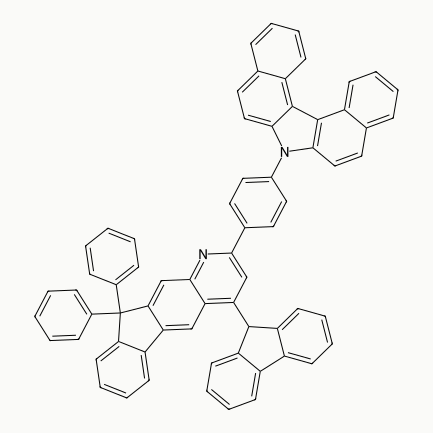 c1ccc(C2(c3ccccc3)c3ccccc3-c3cc4c(C5c6ccccc6-c6ccccc65)cc(-c5ccc(-n6c7ccc8ccccc8c7c7c8ccccc8ccc76)cc5)nc4cc32)cc1